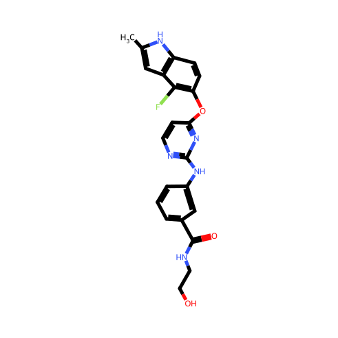 Cc1cc2c(F)c(Oc3ccnc(Nc4cccc(C(=O)NCCO)c4)n3)ccc2[nH]1